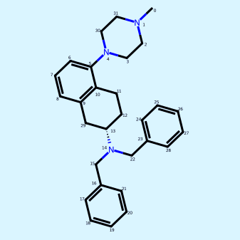 CN1CCN(c2cccc3c2CC[C@H](N(Cc2ccccc2)Cc2ccccc2)C3)CC1